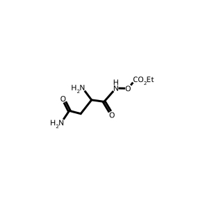 CCOC(=O)ONC(=O)C(N)CC(N)=O